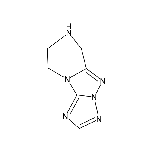 c1nc2n3c(nn2n1)CNCC3